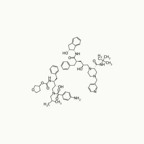 CC(C)(C)NC(=O)[C@@H]1CN(Cc2cccnc2)CCN1C[C@@H](O)C[C@@H](Cc1ccccc1)C(=O)N[C@H]1c2ccccc2C[C@H]1O.CC(C)CN(C[C@@H](O)[C@H](Cc1ccccc1)NC(=O)O[C@H]1CCOC1)S(=O)(=O)c1ccc(N)cc1